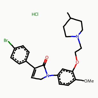 COc1ccc(N2CC=C(c3ccc(Br)cc3)C2=O)cc1OCCN1CCC(C)CC1.Cl